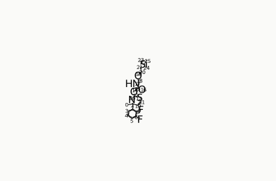 CC1(c2cccc(F)c2F)C=CSC(OC(=O)NCOCC[Si](C)(C)C)=N1